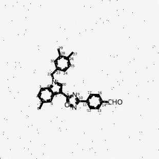 Cc1ccc2c(c1)c(-c1nc(-c3ccc(C=O)cc3)no1)cn2Cc1ccc(C)c(C)c1